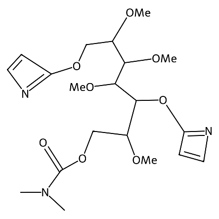 COC(COC1=NC=C1)C(OC)C(OC)C(OC1=NC=C1)C(COC(=O)N(C)C)OC